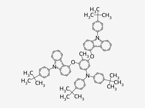 Cc1c(Oc2cccc3c2c2ccccc2n3-c2ccc(C(C)(C)C)cc2)cc(N(c2ccc(C(C)(C)C)cc2)c2ccc(C(C)(C)C)cc2)cc1Oc1cccc2c1c1ccccc1n2-c1ccc(C(C)(C)C)cc1